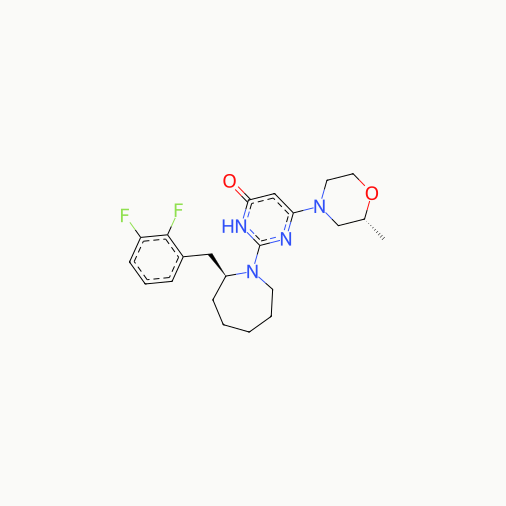 C[C@@H]1CN(c2cc(=O)[nH]c(N3CCCCC[C@H]3Cc3cccc(F)c3F)n2)CCO1